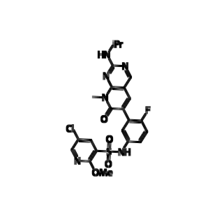 COc1ncc(Cl)cc1S(=O)(=O)Nc1ccc(F)c(-c2cc3cnc(NC(C)C)nc3n(C)c2=O)c1